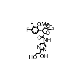 COc1c([C@@H]2C[C@](C)(C(F)(F)F)O[C@H]2C(=O)Nc2cnc([C@H](O)CO)nc2)ccc(F)c1F